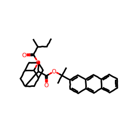 CCC(C)C(=O)OC1C2CC3CC1CC(C2)C3C(=O)OC(C)(C)c1ccc2cc3ccccc3cc2c1